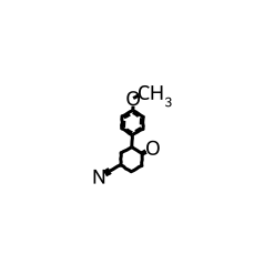 COc1ccc(C2CC(C#N)CCC2=O)cc1